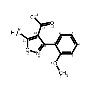 COc1ccccc1-c1noc(C)c1C(=O)Cl